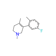 CC1=C(c2cc(F)ccc2C)CN(C)CC1